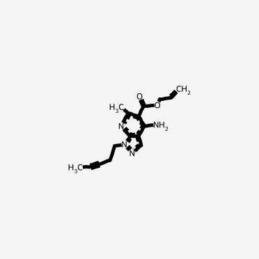 C=CCOC(=O)c1c(C)nc2c(cnn2CCC#CC)c1N